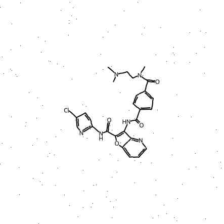 CN(C)CCN(C)C(=O)c1ccc(C(=O)Nc2c(C(=O)Nc3ccc(Cl)cn3)oc3cccnc23)cc1